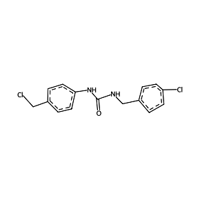 O=C(NCc1ccc(Cl)cc1)Nc1ccc(CCl)cc1